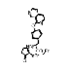 CCCC1=C(N[C@@H](Cc2ccc(Oc3nccc4ccncc34)cc2)C(=O)OCC)CCC1=O